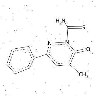 Cc1cc(-c2ccccc2)nn(C(N)=S)c1=O